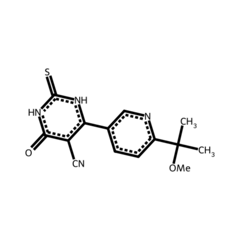 COC(C)(C)c1ccc(-c2[nH]c(=S)[nH]c(=O)c2C#N)cn1